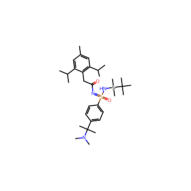 Cc1cc(C(C)C)c(CC(=O)N=S(=O)(N[Si](C)(C)C(C)(C)C)c2ccc(C(C)(C)N(C)C)cc2)c(C(C)C)c1